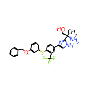 CC(N)(CO)c1nc(-c2ccc(Sc3cccc(OCc4ccccc4)c3)c(C(F)(F)F)c2)c[nH]1